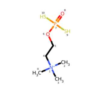 C[N+](C)(C)CCOP(=O)(S)S